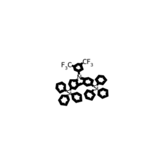 FC(F)(F)c1cc(-n2c3ccc([Si](c4ccccc4)(c4ccccc4)c4ccccc4)cc3c3cc([Si](c4ccccc4)(c4ccccc4)c4ccccc4)ccc32)cc(C(F)(F)F)c1